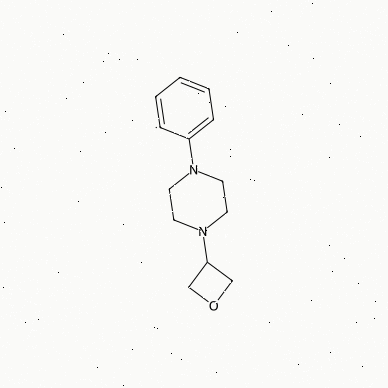 [c]1ccccc1N1CCN(C2COC2)CC1